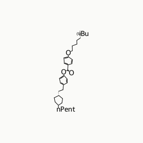 CCCCC[C@H]1CC[C@H](CCc2ccc(OC(=O)c3ccc(OCCCCC[C@@H](C)CC)cc3)cc2)CC1